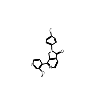 COc1cnccc1-c1nccc2c1CN(c1ccc(F)cc1)C2=O